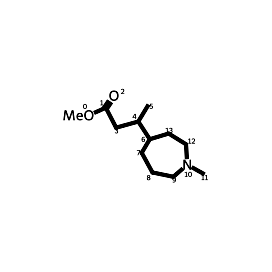 COC(=O)CC(C)C1CCCN(C)CC1